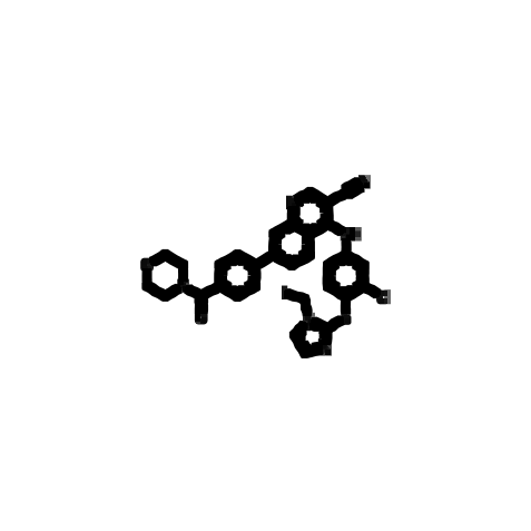 N#Cc1cnc2cc(-c3ccc(C(=O)N4CCOCC4)cc3)ccc2c1Nc1ccc(Sc2nccn2CI)c(Cl)c1